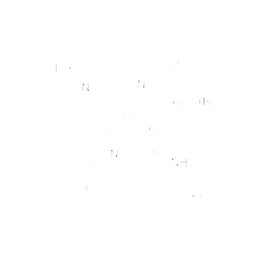 CN(c1cccc2c1C(=O)N(C1CCC(=O)NC1=O)C2=O)C1CN(C(=O)OC(C)(C)C)C1